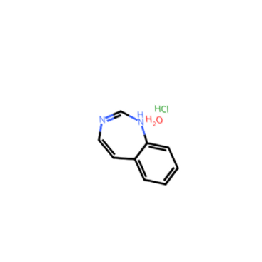 C1=Cc2ccccc2NC=N1.Cl.O